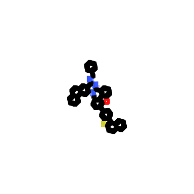 C=N/C(=N\C(=N/Cc1ccccc1)c1ccc2c(ccc3ccccc32)c1)c1cccc2oc3c(-c4ccc5c(c4)sc4ccc6ccccc6c45)cccc3c12